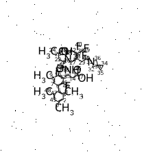 Cc1cc(C)c(-c2cc(C)c(F)c(C(CC(=O)O)NC(=O)C(CC(C)C)n3cc(CCN4CC5(CC5)C4)c(C(F)(F)F)cc3=O)c2F)c(C)c1